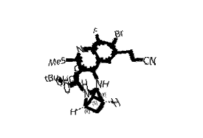 CSc1nc2c(F)c(Br)c(CCC#N)cc2c(N[C@H]2[C@@H]3C[C@H]2N(C(=O)OC(C)(C)C)C3)c1C=O